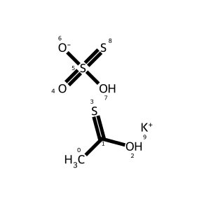 CC(O)=S.O=S([O-])(O)=S.[K+]